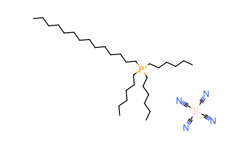 CCCCCCCCCCCCCC[P+](CCCCCC)(CCCCCC)CCCCCC.N#C[B-](C#N)(C#N)C#N